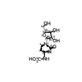 O=C(O)Nc1ccn([C@@H]2O[C@H](CO)[C@@H](O)[C@H]2O)c(=O)n1